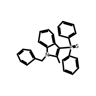 Cc1c(P(=S)(c2ccccc2)c2ccccc2)c2ccccc2n1Cc1ccccc1